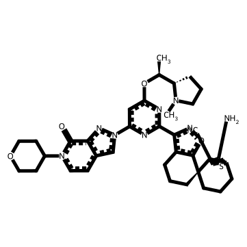 C[C@H](Oc1cc(-n2cc3ccn(C4CCOCC4)c(=O)c3n2)nc(-c2noc3c2CCC[C@@]32CCCc3sc(N)c(C#N)c32)n1)[C@@H]1CCCN1C